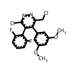 COc1cc(OC)cc(-c2c(CCl)nnc(Cl)c2-c2c(F)cccc2F)c1